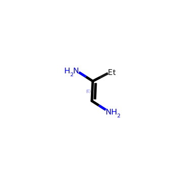 CC/C(N)=C\N